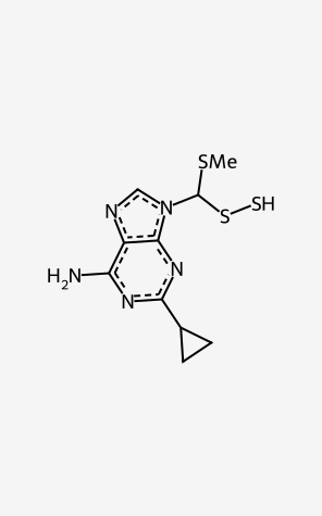 CSC(SS)n1cnc2c(N)nc(C3CC3)nc21